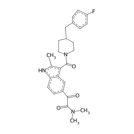 Cc1[nH]c2ccc(C(=O)C(=O)N(C)C)cc2c1C(=O)N1CCC(Cc2ccc(F)cc2)CC1